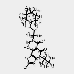 [2H]N(C(=O)c1c(O)c2sc(Cl)nc2n(C([2H])([2H])C([2H])([2H])[2H])c1=O)C([2H])([2H])CCN1C([2H])([2H])C([2H])([2H])C([2H])([2H])C([2H])(C)C1([2H])[2H]